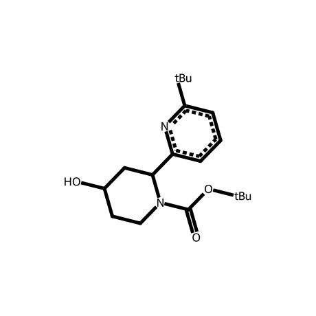 CC(C)(C)OC(=O)N1CCC(O)CC1c1cccc(C(C)(C)C)n1